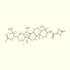 CC(=O)OC(C1C[C@@H](C)[C@H]2C(O1)[C@H](O)[C@@]1(C)C3CC[C@H]4C(C)(C)C(OC(=O)C5CNC5)CCC45CC35CCC21C)C(C)(C)O